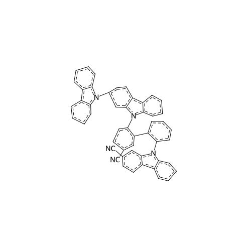 N#Cc1ccc(-n2c3ccccc3c3ccc(-n4c5ccccc5c5ccccc54)cc32)c(-c2ccccc2-n2c3ccccc3c3ccc(C#N)cc32)c1